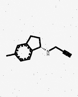 C#CCN[C@H]1CCc2cc(C)ccc21